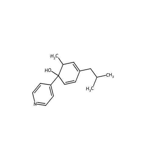 [CH2]C1C=C(CC(C)C)C=CC1(O)c1ccncc1